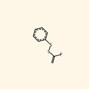 C=C(F)SSc1ccccc1